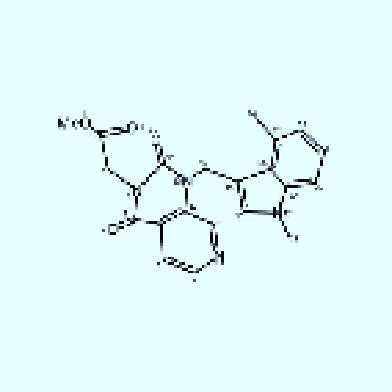 COC(=O)Cn1c(=O)c2ccncc2n(Cc2cn(C)c3cccc(C)c23)c1=O